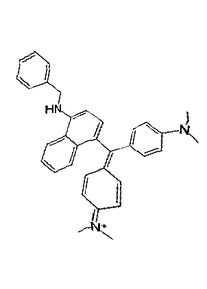 CN(C)c1ccc(C(=C2C=CC(=[N+](C)C)C=C2)c2ccc(NCc3ccccc3)c3ccccc23)cc1